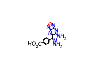 N/N=C(\c1ccc(C(=O)O)cc1)c1nc2nonc2nc1N